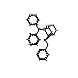 c1ccc(CN=C2C3CCN(CC3)C2C(c2ccccc2)c2ccncc2)cc1